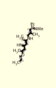 C=N/C(=C\C(=N)/C=C(\C)O/N=C/C)NC/C(C)=C/N(CC)NC